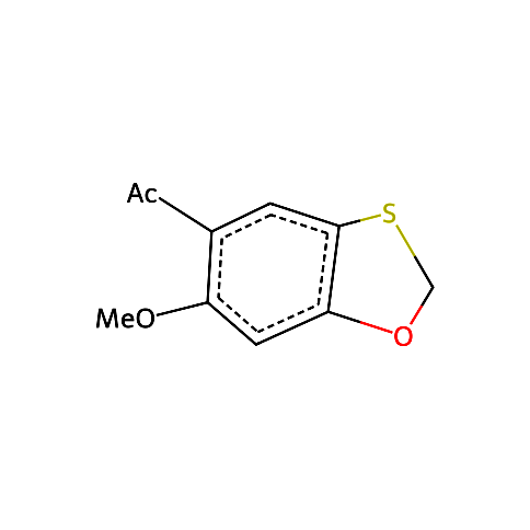 COc1cc2c(cc1C(C)=O)SCO2